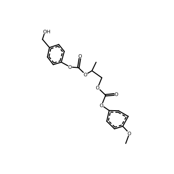 COc1ccc(OC(=O)OCC(C)OC(=O)Oc2ccc(CO)cc2)cc1